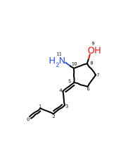 C=C/C=C\C=C1/CCC(O)C1N